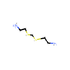 NCCSCSCCN